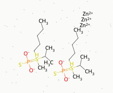 CCCCC[SH](C)(C(C)C)=P([O-])([O-])[S-].CCCCC[SH](C)(C(C)C)=P([O-])([O-])[S-].[Zn+2].[Zn+2].[Zn+2]